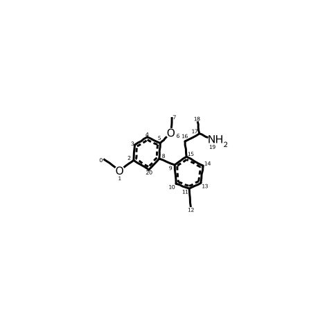 COc1ccc(OC)c(-c2cc(C)ccc2CC(C)N)c1